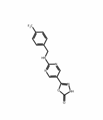 O=c1[nH]nc(-c2cnc(NCc3ccc(C(F)(F)F)cc3)nc2)o1